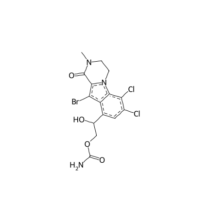 CN1CCn2c(c(Br)c3c(C(O)COC(N)=O)cc(Cl)c(Cl)c32)C1=O